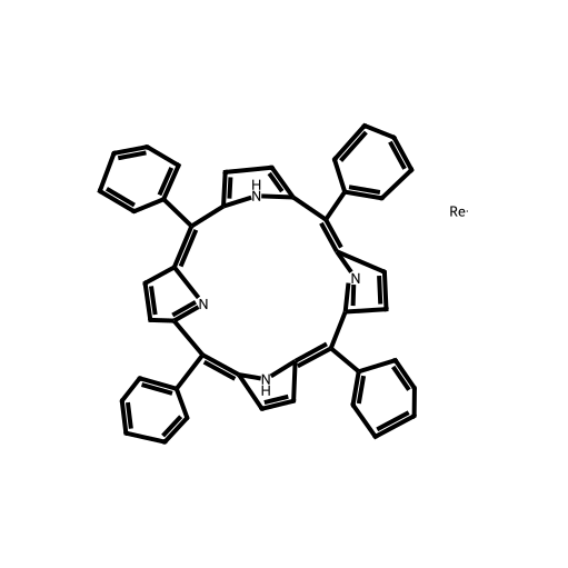 C1=Cc2nc1c(-c1ccccc1)c1ccc([nH]1)c(-c1ccccc1)c1nc(c(-c3ccccc3)c3ccc([nH]3)c2-c2ccccc2)C=C1.[Re]